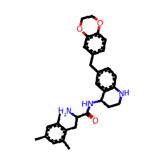 Cc1cc(C)c(CC(N)C(=O)NC2CCNc3ccc(Cc4ccc5c(c4)OCCO5)cc32)c(C)c1